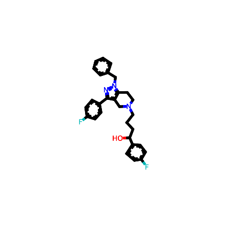 OC(CCCN1CCc2c(c(-c3ccc(F)cc3)nn2Cc2ccccc2)C1)c1ccc(F)cc1